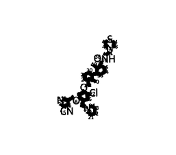 Cc1c(COc2cc(OCc3cncc(C#N)c3)c(CN3CCCCC3)cc2Cl)cccc1-c1cccc(C(=O)NCCN2CCSCC2)c1C